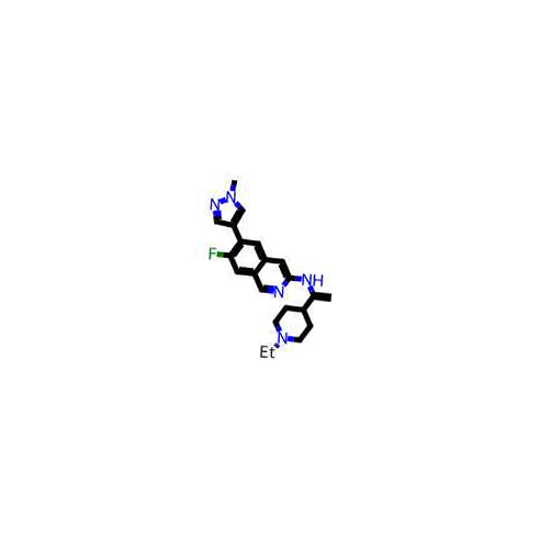 C=C(Nc1cc2cc(-c3cnn(C)c3)c(F)cc2cn1)C1CCN(CC)CC1